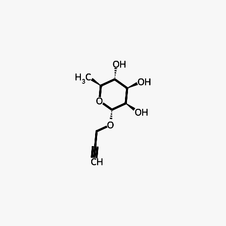 C#CCO[C@@H]1O[C@@H](C)[C@H](O)[C@@H](O)[C@H]1O